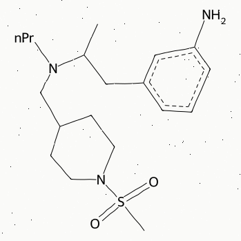 CCCN(CC1CCN(S(C)(=O)=O)CC1)C(C)Cc1cccc(N)c1